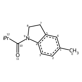 Cc1ccc2c(c1)CCN2C(=O)C(C)C